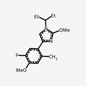 CCC(CC)n1cc(-c2cc(F)c(OC)cc2C)nc1OC